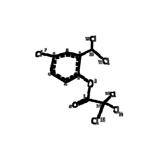 O=C(Oc1ccc(Cl)cc1C(Cl)Cl)C(Cl)(Cl)Cl